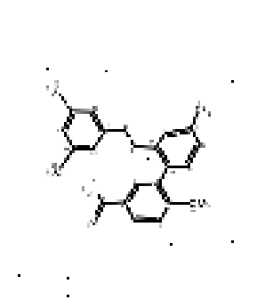 COc1ccc(C(=O)C(F)(F)F)cc1-c1ccc(C(F)(F)F)cc1CCc1cc(C(F)(F)F)cc(C(F)(F)F)c1